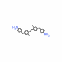 Cc1cc(Cc2ccc(N)cc2)ccc1CCc1ccc(Cc2ccc(N)cc2)cc1C